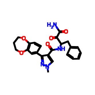 Cn1cc(C(=O)NC(Cc2ccccc2)C(=O)C(N)=O)c(-c2ccc3c(c2)OCCCO3)n1